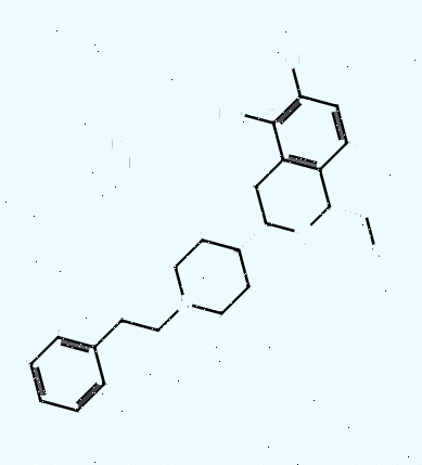 Br.Br.NC[C@@H]1O[C@H](C2CCN(CCc3ccccc3)CC2)Cc2c1ccc(O)c2O